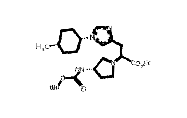 CCOC(=O)C(Cc1cn([C@H]2CC[C@H](C)CC2)cn1)N1CC[C@H](NC(=O)OC(C)(C)C)C1